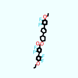 CCCOc1ccc(-c2ccc(C(=O)OC3CCC(C4CC=C(c5ccc(OCC)c(F)c5F)CC4)CC3)c(F)c2F)c(F)c1F